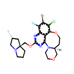 Fc1c(Br)c(Cl)c2c3c(nc(OC[C@@]45CCCN4C[C@H](F)C5)nc13)N1CCOC[C@@H]1CCO2